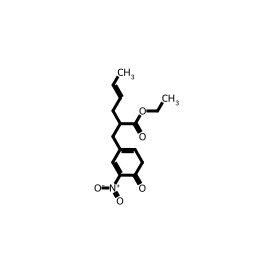 CC=CCC(CC1=CCC(=O)C([N+](=O)[O-])=C1)C(=O)OCC